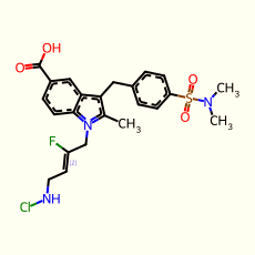 Cc1c(Cc2ccc(S(=O)(=O)N(C)C)cc2)c2cc(C(=O)O)ccc2n1C/C(F)=C/CNCl